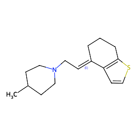 CC1CCN(C/C=C2\CCCc3sccc32)CC1